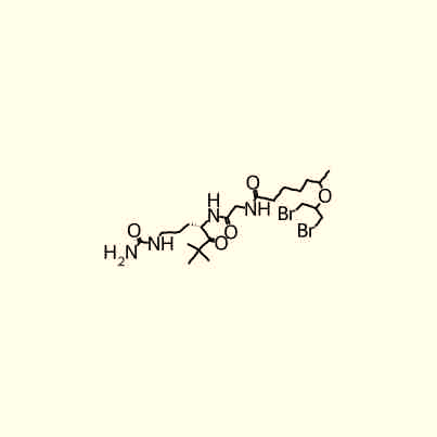 CC(CCCCC(=O)NCC(=O)N[C@@H](CCCNC(N)=O)C(=O)C(C)(C)C)OC(CBr)CBr